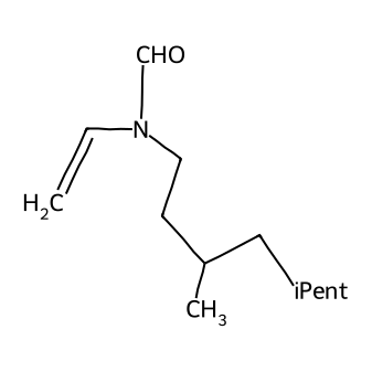 C=CN(C=O)CCC(C)CC(C)CCC